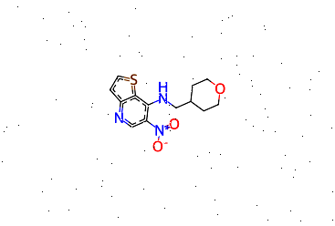 O=[N+]([O-])c1cnc2ccsc2c1NCC1CCOCC1